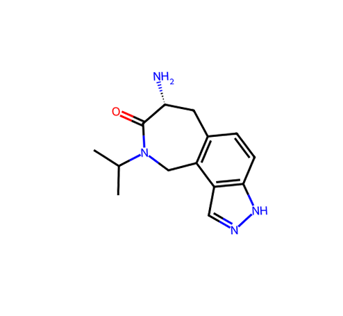 CC(C)N1Cc2c(ccc3[nH]ncc23)C[C@@H](N)C1=O